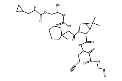 C#CCCC(NC(=O)[C@@H]1C2C(CN1C(=O)[C@@H](NC(=O)N[C@H](COC(=O)NCC1CC1)C(C)(C)C)C1(C)CCCCC1)C2(C)C)C(=O)C(=O)NCC=C